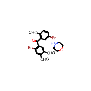 C1COCCN1.O=Cc1cc(Br)c(C(=O)c2cc(Br)ccc2C=O)cc1C=O